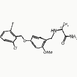 COc1cc(OCc2c(F)cccc2Cl)ccc1CN[C@@H](C)C(N)=O